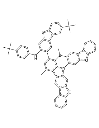 CB1c2cc3c(cc2-n2c4cc5oc6ccccc6c5cc4c4c(C)cc(-c5cc6c(cc5Nc5ccc(C(C)(C)C)cc5)sc5ccc(C(C)(C)C)cc56)c1c42)oc1ccccc13